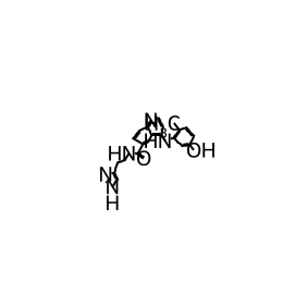 Cc1ccc(O)cc1Nc1ccnc2ccc(C(=O)NCCc3c[nH]cn3)cc12